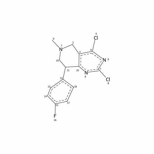 CN1Cc2c(Cl)nc(Cl)nc2C(c2ccc(F)cc2)C1